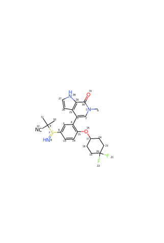 Cn1cc(-c2cc(S(=N)C(C)(C)C#N)ccc2OC2CCC(F)(F)CC2)c2cc[nH]c2c1=O